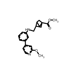 COC(=O)C12CC(CNc3cccc(-c4ccnc(OC)c4)c3)C(C1)C2